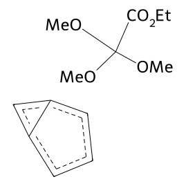 CCOC(=O)C(OC)(OC)OC.c1cc2cc-2c1